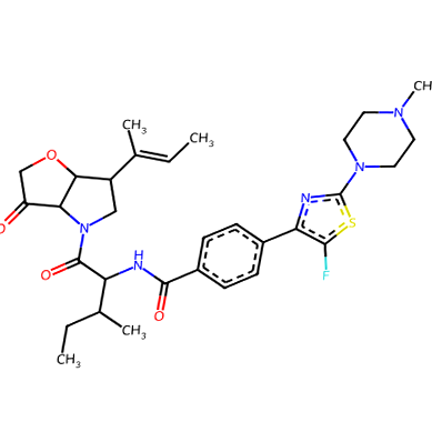 C/C=C(\C)C1CN(C(=O)C(NC(=O)c2ccc(-c3nc(N4CCN(C)CC4)sc3F)cc2)C(C)CC)C2C(=O)COC12